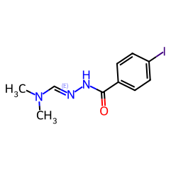 CN(C)/C=N/NC(=O)c1ccc(I)cc1